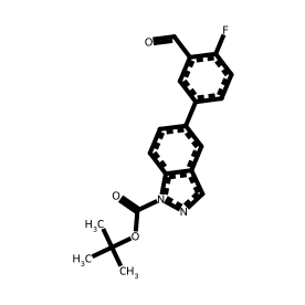 CC(C)(C)OC(=O)n1ncc2cc(-c3ccc(F)c(C=O)c3)ccc21